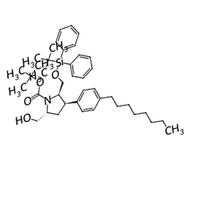 CCCCCCCCc1ccc([C@H]2C[C@H](CO)N(C(=O)OC(C)(C)C)[C@H]2CO[Si](c2ccccc2)(c2ccccc2)C(C)(C)C)cc1